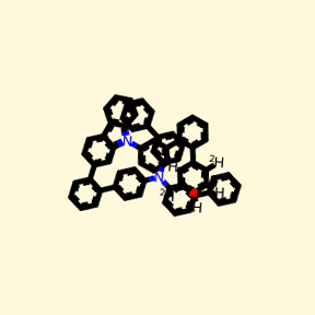 [2H]c1c([2H])c([2H])c(-c2ccccc2-c2cccc(-n3c4ccccc4c4ccc(-c5ccccc5-c5ccc(N(c6cccc(-c7ccccc7)c6)c6cccc(-c7ccccc7)c6)cc5)cc43)c2)c([2H])c1[2H]